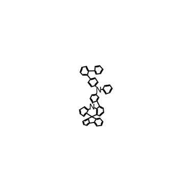 c1ccc(-c2ccccc2-c2ccc(N(c3ccccc3)c3ccc4c(c3)c3cccc5c3n4-c3ccccc3C53c4ccccc4-c4ccccc43)cc2)cc1